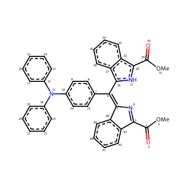 COC(=O)C1=N/C(=C(/c2ccc(N(c3ccccc3)c3ccccc3)cc2)c2[nH]c(C(=O)OC)c3ccccc23)c2ccccc21